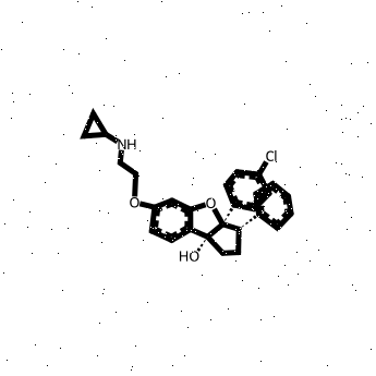 O[C@@]12CC[C@@H](c3ccccc3)[C@]1(c1ccc(Cl)cc1)Oc1cc(OCCNC3CC3)ccc12